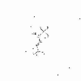 CC(C)/C=N/[S@+]([O-])C(C)(C)C